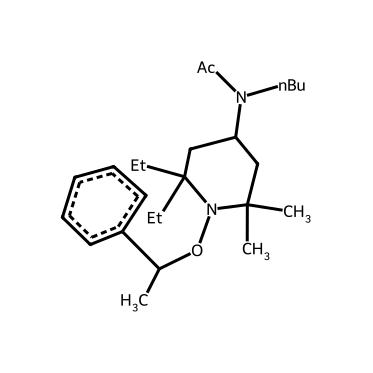 CCCCN(C(C)=O)C1CC(C)(C)N(OC(C)c2ccccc2)C(CC)(CC)C1